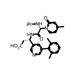 Cc1ccn([C@@H](NC(C)C)C(=O)N[C@@H](CC(=O)O)c2cncc(-c3c(C)cccc3C)c2)c(=O)c1